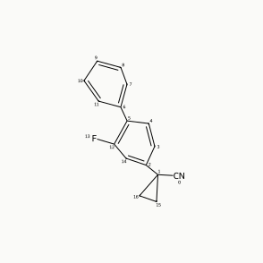 N#CC1(c2ccc(-c3ccccc3)c(F)c2)CC1